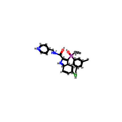 COP(=O)(C1=C(C(=O)NCc2ccncc2)N=C2C=CC(Cl)=CC21)c1cc(C)cc(C)c1